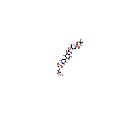 CC(C)(O)CCCS(=O)(=O)N1CC=C(c2ccc3nc(OC4CCN(S(=O)(=O)CC(C)(F)F)CC4)sc3c2)CC1